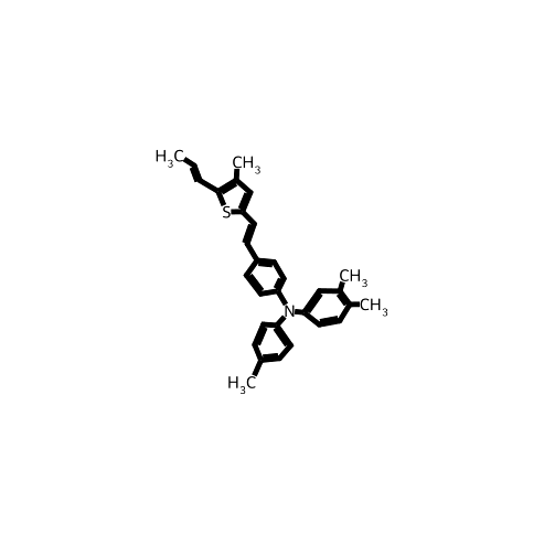 CC=Cc1sc(C=Cc2ccc(N(c3ccc(C)cc3)c3ccc(C)c(C)c3)cc2)cc1C